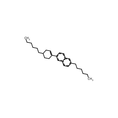 CCCCCCc1ccc2cc(C3=CCC(CCCCCC)CC3)ccc2c1